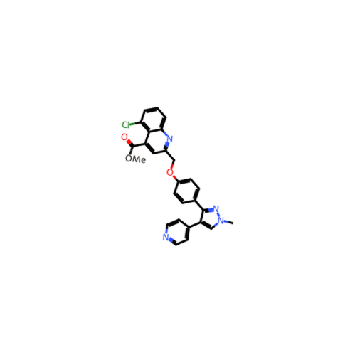 COC(=O)c1cc(COc2ccc(-c3nn(C)cc3-c3ccncc3)cc2)nc2cccc(Cl)c12